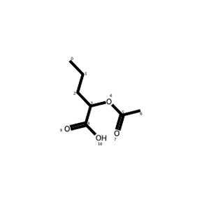 CCCC(OC(C)=O)C(=O)O